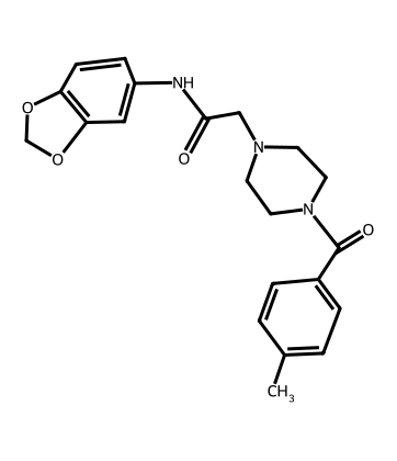 Cc1ccc(C(=O)N2CCN(CC(=O)Nc3ccc4c(c3)OCO4)CC2)cc1